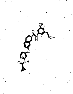 O=C(Nc1cc(CCO)cc(C(F)(F)F)c1)C1CCc2ccc(Oc3ccnc(NC(=O)C4CC4)c3)cc2C1